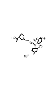 Cc1cc(F)ccc1C(=COCCN1CCC=C(C(=O)O)C1)c1ccc(F)cc1C.Cl